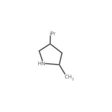 CC1CC(C(C)C)CN1